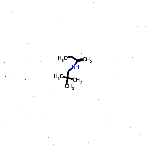 C=C(CC)NCC(C)(C)C